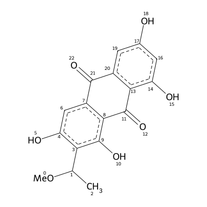 COC(C)c1c(O)cc2c(c1O)C(=O)c1c(O)cc(O)cc1C2=O